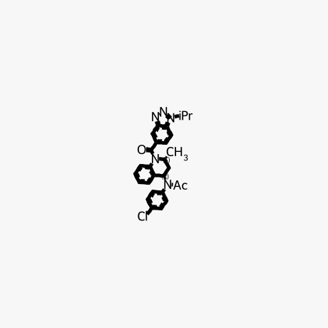 CC(=O)N(c1ccc(Cl)cc1)[C@@H]1C[C@H](C)N(C(=O)c2ccc3c(c2)nnn3C(C)C)c2ccccc21